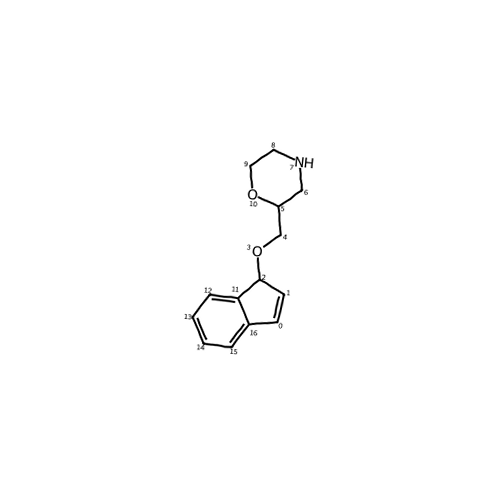 C1=CC(OCC2CNCCO2)c2ccccc21